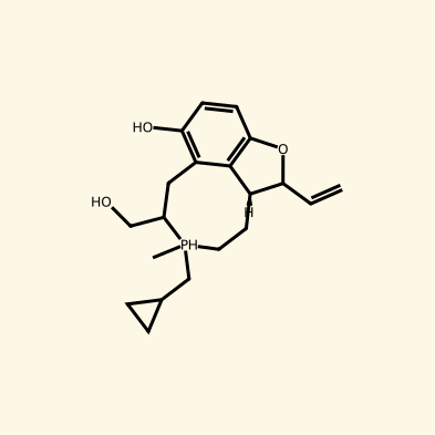 C=CC1Oc2ccc(O)c3c2[C@H]1CC[PH](C)(CC1CC1)C(CO)C3